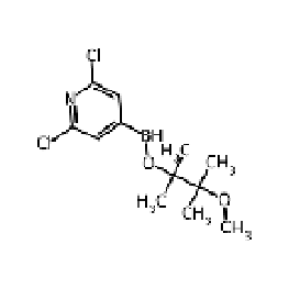 COC(C)(C)C(C)(C)OBc1cc(Cl)nc(Cl)c1